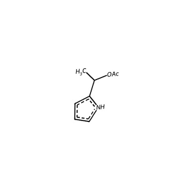 CC(=O)OC(C)c1ccc[nH]1